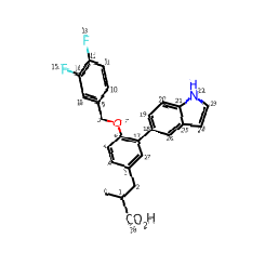 CC(Cc1ccc(OCc2ccc(F)c(F)c2)c(-c2ccc3[nH]ccc3c2)c1)C(=O)O